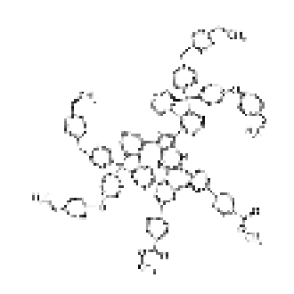 C=Cc1ccc(Cc2ccc(C3(c4ccc(Oc5ccc(C=C)cc5)cc4)c4ccccc4-c4c(-c5sc(-c6cccc7c6-c6ccccc6C7(c6ccc(Cc7ccc(C=C)cc7)cc6)c6ccc(Oc7ccc(C=C)cc7)cc6)c6nc7c8ccc(-c9ccc(C(=O)OC)cc9)cc8c8cc(-c9ccc(C(=O)OC)cc9)ccc8c7nc56)cccc43)cc2)cc1